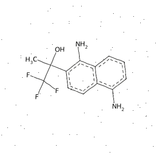 CC(O)(c1ccc2c(N)cccc2c1N)C(F)(F)F